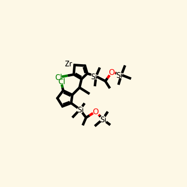 CC(C1=C(Cl)CC=C1[Si](C)(C)C(C)O[Si](C)(C)C)C1=C(Cl)CC=C1[Si](C)(C)C(C)O[Si](C)(C)C.[Zr]